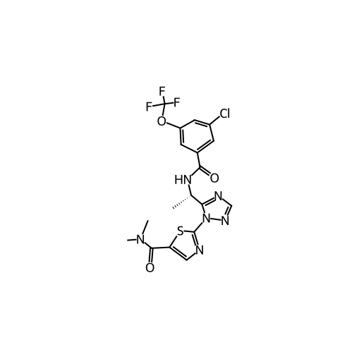 C[C@H](NC(=O)c1cc(Cl)cc(OC(F)(F)F)c1)c1ncnn1-c1ncc(C(=O)N(C)C)s1